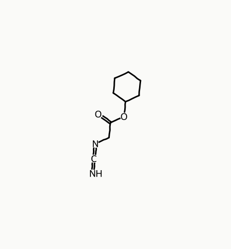 N=C=NCC(=O)OC1CCCCC1